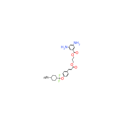 CCCC1CCC(C(F)(F)Oc2ccc(C=CC(=O)OCCCOC(=O)c3cc(N)cc(N)c3)cc2)CC1